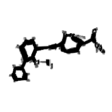 COC(=O)c1ccc(C#Cc2cccc(-c3ccccc3)c2C)nn1